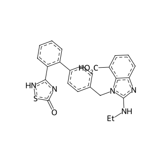 CCNc1nc2cccc(C(=O)O)c2n1Cc1ccc(-c2ccccc2-c2nc(=O)s[nH]2)cc1